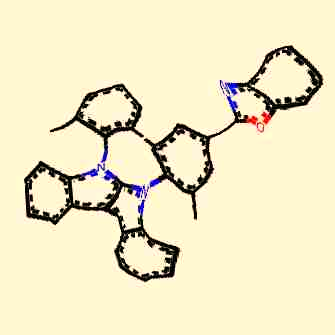 Cc1cccc(C)c1-n1c2ccccc2c2c3ccccc3n(-c3c(C)cc(-c4nc5ccccc5o4)cc3C)c21